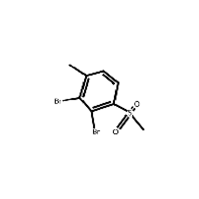 Cc1ccc(S(C)(=O)=O)c(Br)c1Br